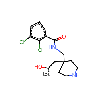 CC(C)(C)[C@H](O)C[C@@]1(CNC(=O)c2cccc(Cl)c2Cl)CCNC[C@H]1F